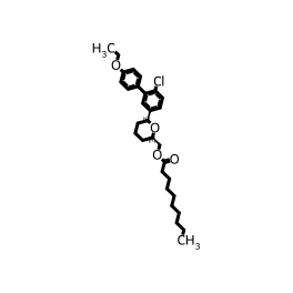 CCCCCCCCCC(=O)OC[C@H]1CCC[C@@H](c2ccc(Cl)c(-c3ccc(OCC)cc3)c2)O1